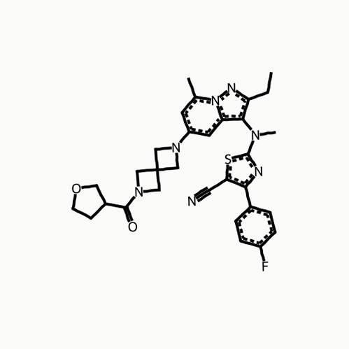 CCc1nn2c(C)cc(N3CC4(CN(C(=O)C5CCOC5)C4)C3)cc2c1N(C)c1nc(-c2ccc(F)cc2)c(C#N)s1